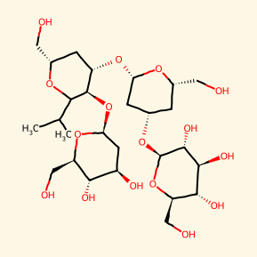 CC(C)C1O[C@H](CO)C[C@H](O[C@H]2C[C@@H](O[C@@H]3O[C@H](CO)[C@@H](O)[C@H](O)[C@H]3O)C[C@@H](CO)O2)[C@H]1O[C@H]1C[C@@H](O)[C@H](O)[C@@H](CO)O1